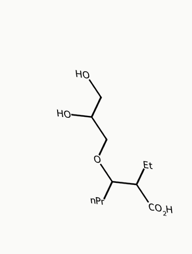 CCCC(OCC(O)CO)C(CC)C(=O)O